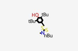 CCCCN(C)C(=S)SCc1cc(C(C)(C)C)c(O)c(C(C)(C)C)c1